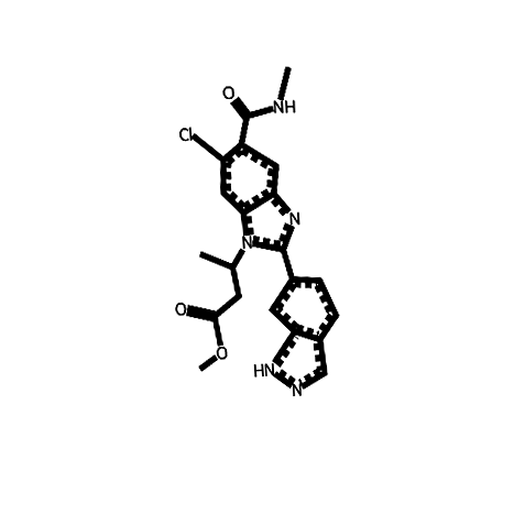 CNC(=O)c1cc2nc(-c3ccc4cn[nH]c4c3)n(C(C)CC(=O)OC)c2cc1Cl